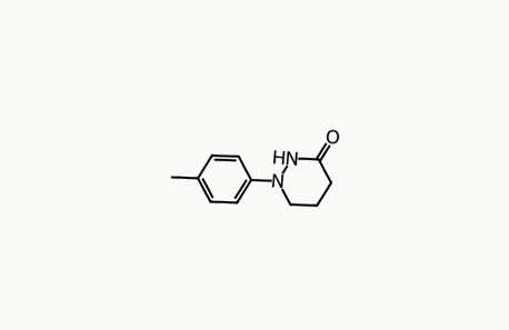 Cc1ccc(N2CCCC(=O)N2)cc1